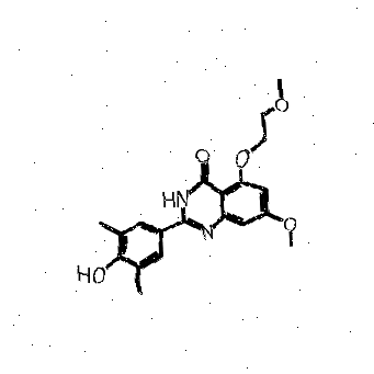 COCCOc1cc(OC)cc2nc(-c3cc(C)c(O)c(C)c3)[nH]c(=O)c12